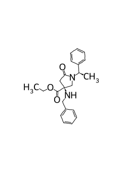 CCOC(=O)[C@]1(NCc2ccccc2)CC(=O)N([C@H](C)c2ccccc2)C1